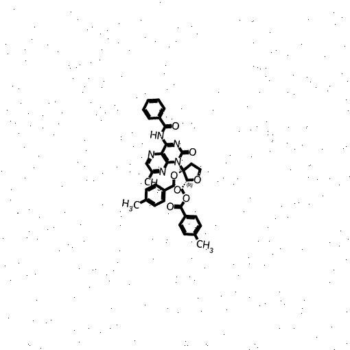 Cc1ccc(C(=O)OC[C@H]2OCC[C@]2(OC(=O)c2ccc(C)cc2)n2c(=O)nc(NC(=O)c3ccccc3)c3ncc(C)nc32)cc1